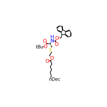 CCCCCCCCCCCCCCCC(=O)OCCSC[C@H](NC(=O)OCC1c2ccccc2-c2ccccc21)C(=O)OC(C)(C)C